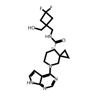 O=C(NCC1(CO)CC(F)(F)C1)[C@H]1CCN(c2ncnc3[nH]ccc23)CC12CC2